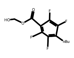 CCCCc1c(F)c(F)c(C(=O)OCO)c(F)c1F